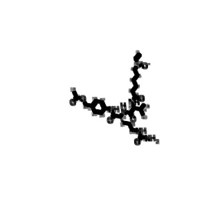 C=C[S+]([O-])CCCCCC(=O)NC(C(=O)N[C@H](CCCNC(N)=O)C(=O)Nc1ccc(COC(C)=O)cc1)C(C)C